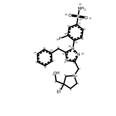 CCC1(CO)CCN(Cc2nc(Cc3ccccc3)n(-c3ccc(S(N)(=O)=O)cc3F)n2)C1